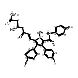 COC(=O)C[C@H](O)CC(=O)C=Cc1c(-c2ccc(F)cc2)c(-c2ccc(F)cc2)c(C(=O)Nc2ccc(F)cc2)n1C(C)C